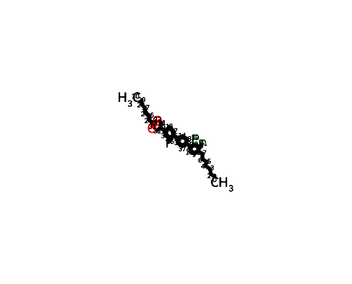 CCCCCCCCc1ccc(-c2ccc(-c3ccc(C4COC(CCCCCCC)OC4)cc3F)cc2)c(F)c1F